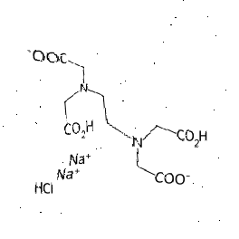 Cl.O=C([O-])CN(CCN(CC(=O)[O-])CC(=O)O)CC(=O)O.[Na+].[Na+]